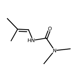 CC(C)=CNC(=O)N(C)C